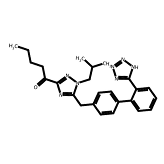 CCCCC(=O)c1nc(Cc2ccc(-c3ccccc3-c3nnn[nH]3)cc2)n(CC(C)C)n1